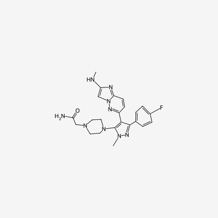 CNc1cn2nc(-c3c(-c4ccc(F)cc4)nn(C)c3N3CCN(CC(N)=O)CC3)ccc2n1